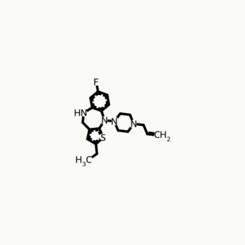 C=CCN1CCN(N2c3ccc(F)cc3NCc3cc(CC)sc32)CC1